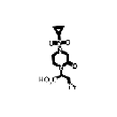 CC(C)CC(C(=O)O)N1CCN(S(=O)(=O)C2CC2)CC1=O